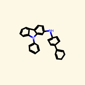 C1=CC(c2ccc(Nc3ccc4c5ccccc5n(-c5ccccc5)c4c3)cc2)=CCC1